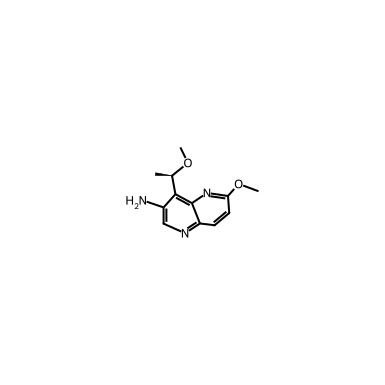 COc1ccc2ncc(N)c([C@@H](C)OC)c2n1